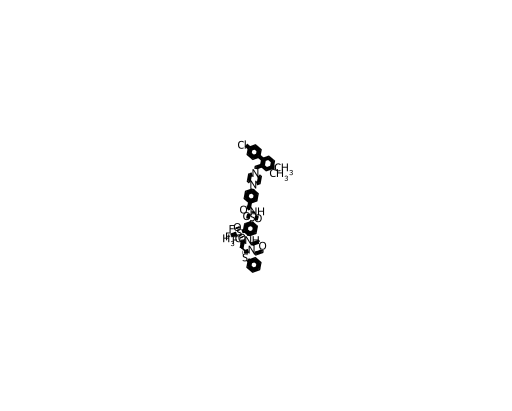 C[C@H](C[C@H](Sc1ccccc1)N1CCOCC1)Nc1ccc(S(=O)(=O)NC(=O)c2ccc(N3CCN(CC4=C(c5ccc(Cl)cc5)CCC(C)(C)C4)CC3)cc2)cc1S(=O)(=O)C(F)(F)F